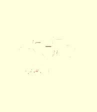 CC[C@@](C)(N=[N+]=[N-])c1cnc(O[C@H](C)CC[S@+](C)[O-])c2cnc(Cl)cc12